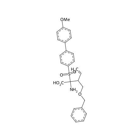 C=CC(COCc1ccccc1)C(N)(C(=O)O)S(=O)(=O)c1ccc(-c2ccc(OC)cc2)cc1